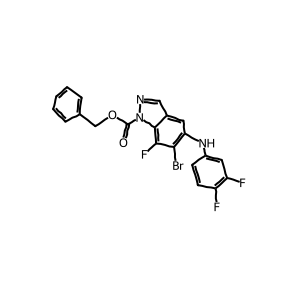 O=C(OCc1ccccc1)n1ncc2cc(Nc3ccc(F)c(F)c3)c(Br)c(F)c21